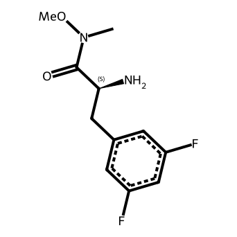 CON(C)C(=O)[C@@H](N)Cc1cc(F)cc(F)c1